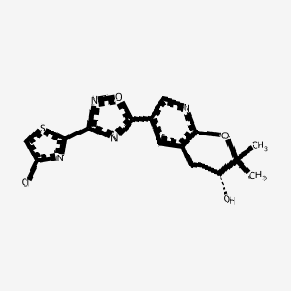 CC1(C)Oc2ncc(-c3nc(-c4nc(Cl)cs4)no3)cc2C[C@H]1O